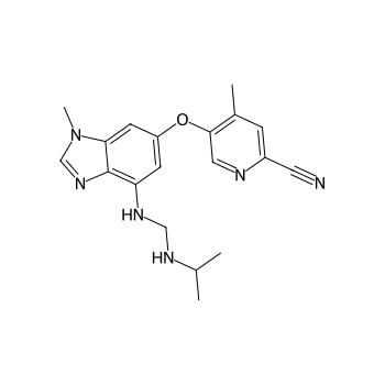 Cc1cc(C#N)ncc1Oc1cc(NCNC(C)C)c2ncn(C)c2c1